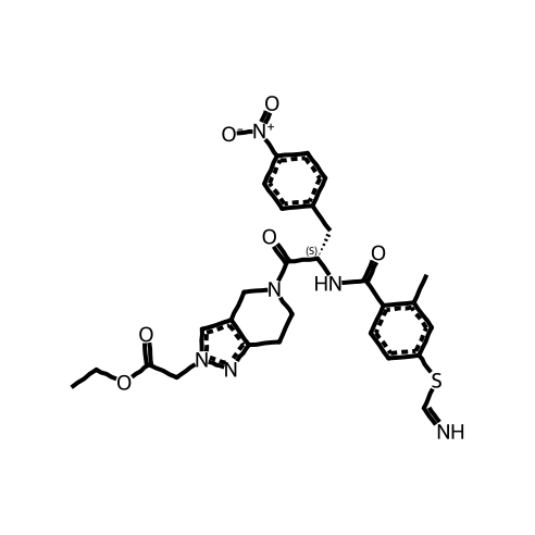 CCOC(=O)Cn1cc2c(n1)CCN(C(=O)[C@H](Cc1ccc([N+](=O)[O-])cc1)NC(=O)c1ccc(SC=N)cc1C)C2